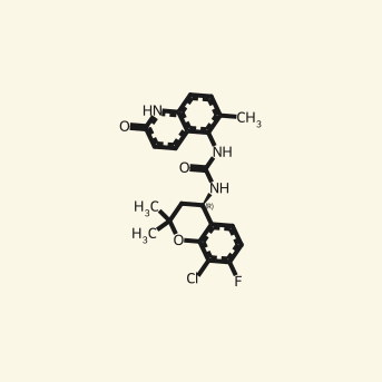 Cc1ccc2[nH]c(=O)ccc2c1NC(=O)N[C@@H]1CC(C)(C)Oc2c1ccc(F)c2Cl